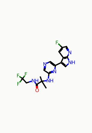 CC(C)(Nc1cncc(-c2c[nH]c3ncc(F)cc23)n1)C(=O)NCC(F)(F)F